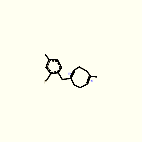 C/C1=C/CC/C(Cc2ccc(C)cc2F)=C\CC1